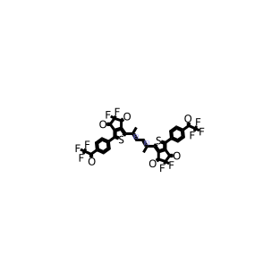 C/C(=C\C=C(/C)c1sc(-c2ccc(C(=O)C(F)(F)F)cc2)c2c1C(=O)C(F)(F)C2=O)c1sc(-c2ccc(C(=O)C(F)(F)F)cc2)c2c1C(=O)C(F)(F)C2=O